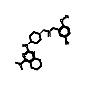 CCOc1ccc(Br)cc1CNC[C@H]1CC[C@@H](Nc2nc3c(c(N(C)C)n2)CCCC3)CC1